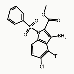 Bc1c(C(=O)OC)n(S(=O)(=O)c2ccccc2)c2ccc(Cl)c(F)c12